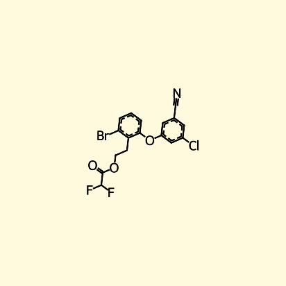 N#Cc1cc(Cl)cc(Oc2cccc(Br)c2CCOC(=O)C(F)F)c1